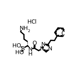 Cl.NCCCC[C@H](NC(=O)Cn1cnc(CCc2ccccc2)n1)B(O)O